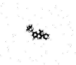 CC(C)c1c(C2(O)CCOCC2)cnc2c(F)cc(B3OC(C)(C)C(C)(C)O3)cc12